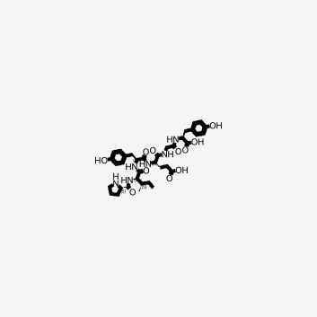 CC[C@H](C)[C@H](NC(=O)[C@@H]1CCCN1)C(=O)N[C@@H](Cc1ccc(O)cc1)C(=O)N[C@@H](CCC(=O)O)C(=O)NCC(=O)N[C@@H](Cc1ccc(O)cc1)C(=O)O